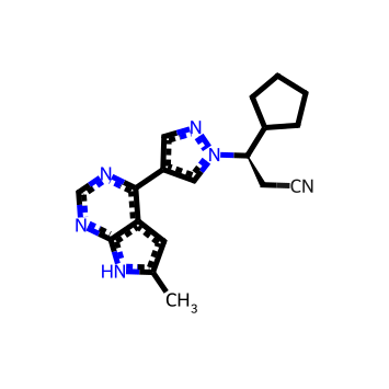 Cc1cc2c(-c3cnn([C@H](CC#N)C4CCCC4)c3)ncnc2[nH]1